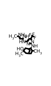 C/C(N)=C/C(=N)Nc1cc(C(F)(F)F)nc(NC2C(C)CC3CC2CC(C)(O)C3)n1